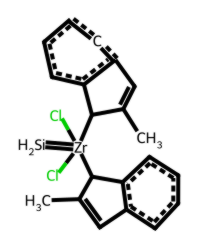 CC1=Cc2ccccc2[CH]1[Zr](=[SiH2])([Cl])([Cl])[CH]1C(C)=Cc2ccccc21